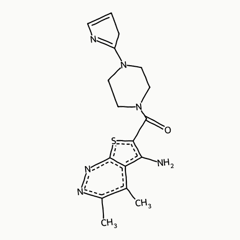 Cc1nnc2sc(C(=O)N3CCN(C4=NC=CC4)CC3)c(N)c2c1C